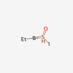 CCB=[SH](=O)I